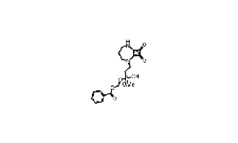 [CH2]O[PH](O)(CCN1CCCNc2c1c(=O)c2=O)OCOC(=O)c1ccccc1